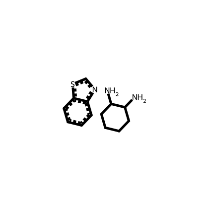 NC1CCCCC1N.c1ccc2scnc2c1